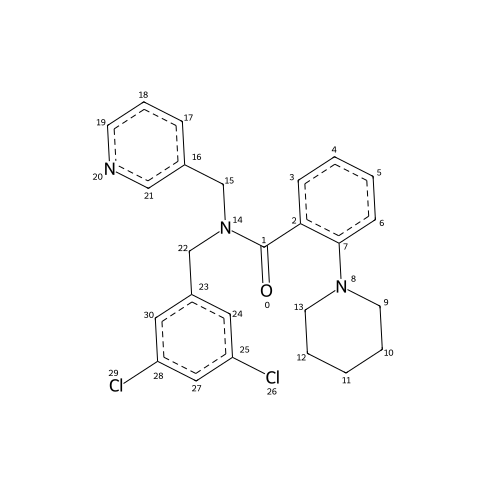 O=C(c1ccccc1N1CCCCC1)N(Cc1cccnc1)Cc1cc(Cl)cc(Cl)c1